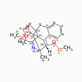 COC(=O)[C@H]1C2c3ccccc3CC34C=COC3C1(C)N=C(C)C24C(=O)OC